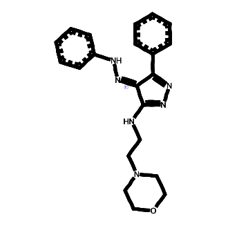 c1ccc(N/N=C2/C(NCCN3CCOCC3)=NN=C2c2ccccc2)cc1